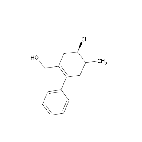 CC1CC(c2ccccc2)=C(CO)C[C@H]1Cl